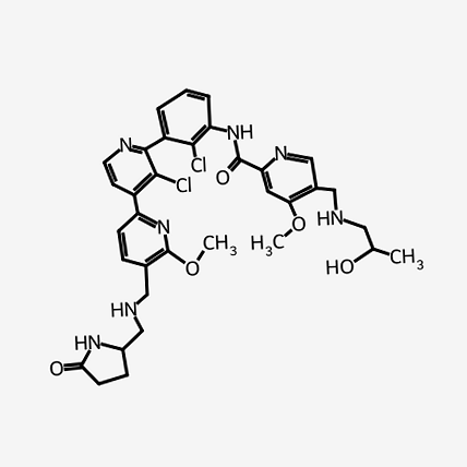 COc1cc(C(=O)Nc2cccc(-c3nccc(-c4ccc(CNCC5CCC(=O)N5)c(OC)n4)c3Cl)c2Cl)ncc1CNCC(C)O